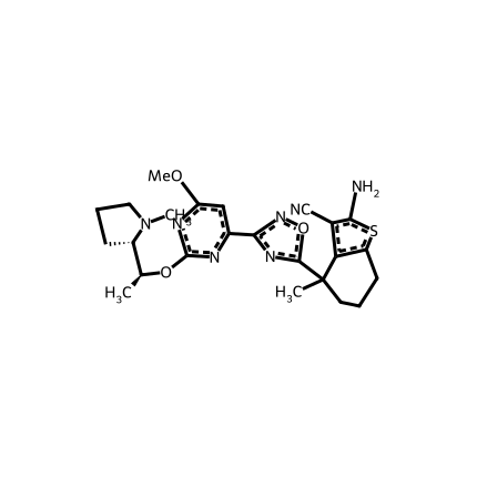 COc1cc(-c2noc(C3(C)CCCc4sc(N)c(C#N)c43)n2)nc(O[C@@H](C)[C@@H]2CCCN2C)n1